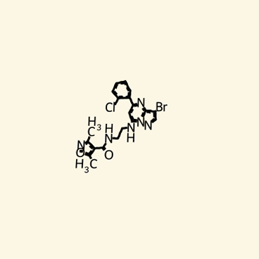 Cc1noc(C)c1C(=O)NCCNc1cc(-c2ccccc2Cl)nc2c(Br)cnn12